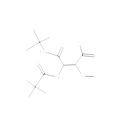 COC(C(N)=O)C(NC(=O)C(C)(C)C)C(=O)NC(C)(C)C